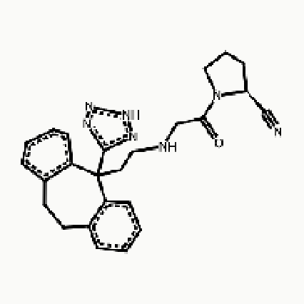 N#C[C@@H]1CCCN1C(=O)CNCCC1(c2nn[nH]n2)c2ccccc2CCc2ccccc21